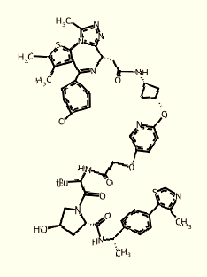 Cc1ncsc1-c1ccc([C@H](C)NC(=O)[C@@H]2C[C@@H](O)CN2C(=O)C(NC(=O)COc2ccc(O[C@H]3C[C@@H](NC(=O)C[C@@H]4N=C(c5ccc(Cl)cc5)c5c(sc(C)c5C)-n5c(C)nnc54)C3)nc2)C(C)(C)C)cc1